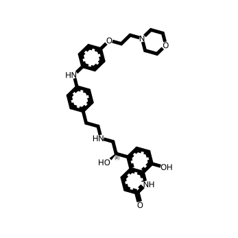 O=c1ccc2c([C@@H](O)CNCCc3ccc(Nc4ccc(OCCN5CCOCC5)cc4)cc3)ccc(O)c2[nH]1